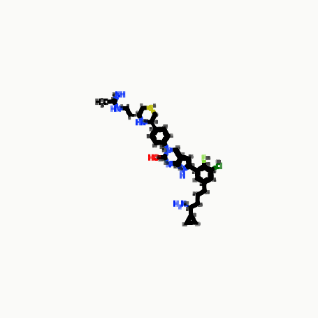 CC(=N)NCC[C@@H]1CSC[C@@H](c2ccc(N3C=c4cc(-c5cc(CCC[C@@H](N)C6CC6)cc(Cl)c5F)[nH]c4=NC3O)cc2)N1